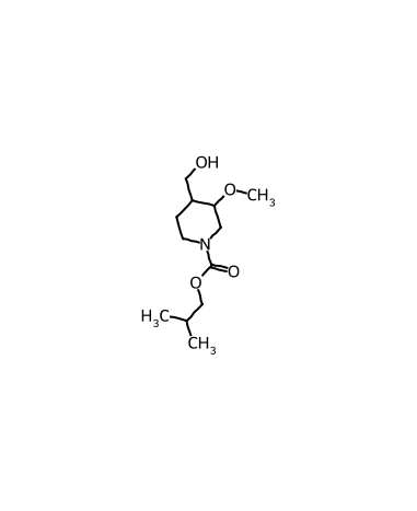 COC1CN(C(=O)OCC(C)C)CCC1CO